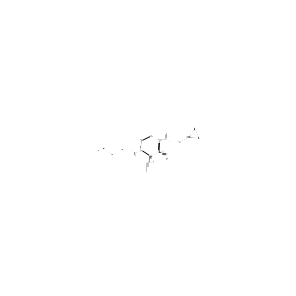 FCCCOc1ccc(OCC2CC2)c(F)c1F